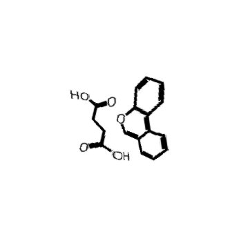 C1=CC2=c3ccccc3=COC2C=C1.O=C(O)CCC(=O)O